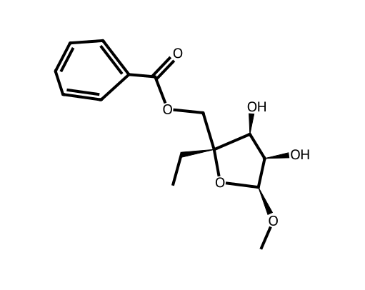 CC[C@]1(COC(=O)c2ccccc2)O[C@H](OC)[C@H](O)[C@@H]1O